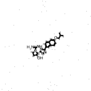 CC(C)COc1ccc2cc(-c3noc([C@@H]4[C@@H](O)CCN4C(=N)N)n3)ccc2c1